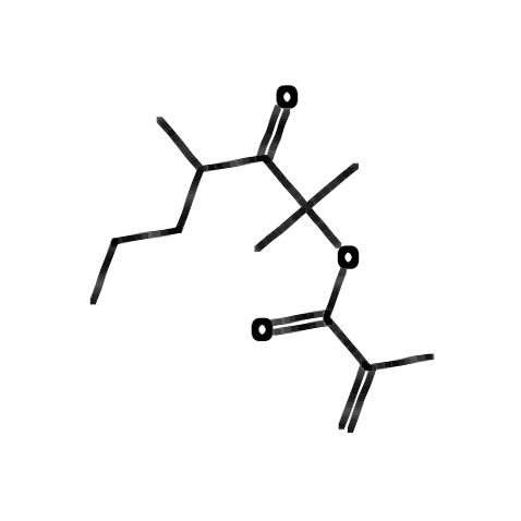 C=C(C)C(=O)OC(C)(C)C(=O)C(C)CCC